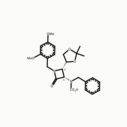 COc1ccc(CN2C(=O)[C@@H](N(Cc3ccccc3)C(=O)O)[C@H]2C2COC(C)(C)O2)c(OC)c1